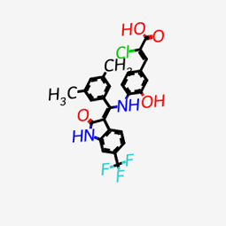 Cc1cc(C)cc(C(Nc2ccc(C=C(Cl)C(=O)O)cc2O)=C2C(=O)Nc3cc(C(F)(F)F)ccc32)c1